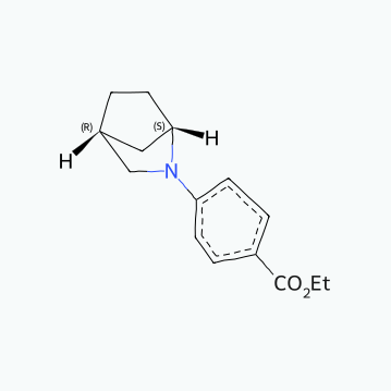 CCOC(=O)c1ccc(N2C[C@@H]3CC[C@H]2C3)cc1